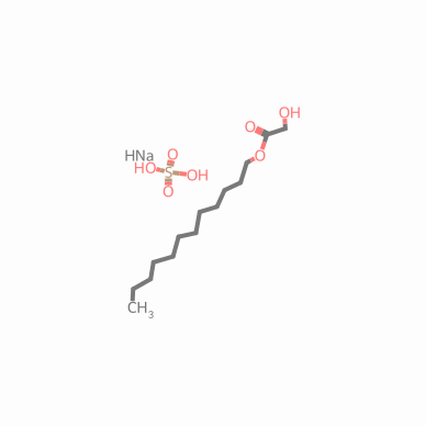 CCCCCCCCCCCCOC(=O)CO.O=S(=O)(O)O.[NaH]